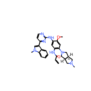 C=CC(=O)Nc1cc(Nc2nccc(-c3cn(C)c4ccccc34)n2)c(OC)cc1N1C[C@H]2CN(C)C[C@H]2C1